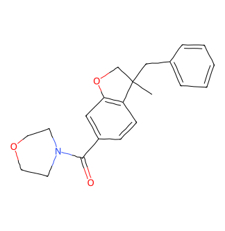 CC1(Cc2ccccc2)COc2cc(C(=O)N3CCOCC3)ccc21